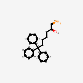 O=C(C=[PH3])CCCCC(c1ccccc1)(c1ccccc1)c1ccccc1